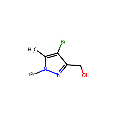 CCCn1nc(CO)c(Br)c1C